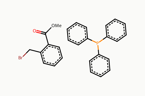 COC(=O)c1ccccc1CBr.c1ccc(P(c2ccccc2)c2ccccc2)cc1